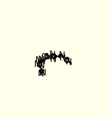 CCN1CCC(n2cc(-c3cnc(N4CCO[C@H](Cn5nnc6ncc(-c7cnn(C)c7)nc65)C4)nc3)cn2)CC1